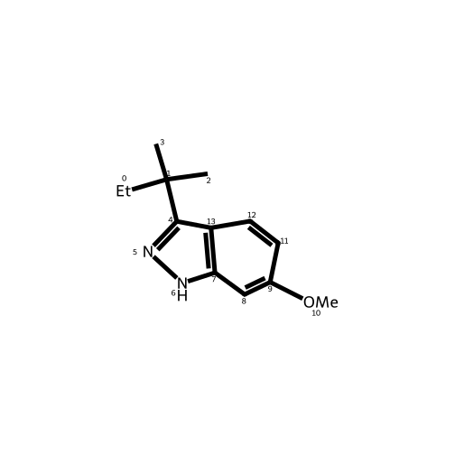 CCC(C)(C)c1n[nH]c2cc(OC)ccc12